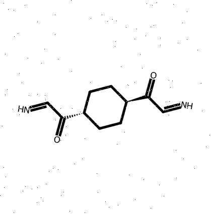 N=CC(=O)[C@H]1CC[C@H](C(=O)C=N)CC1